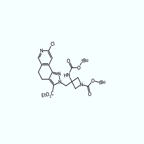 CCOC(=O)c1c2c(nn1CC1(NC(=O)OC(C)(C)C)CN(C(=O)OC(C)(C)C)C1)-c1cc(Cl)ncc1CC2